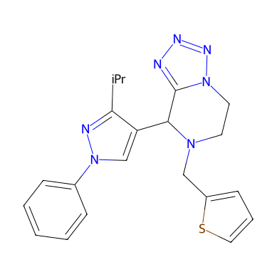 CC(C)c1nn(-c2ccccc2)cc1C1c2nnnn2CCN1Cc1cccs1